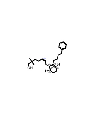 CC(C)(CO)CC/C=C\C[C@H]1[C@@H](CCOCc2ccccc2)[C@H]2CC[C@@H]1O2